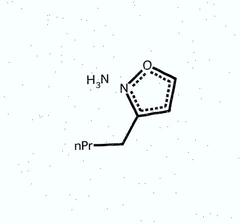 CCCCc1ccon1.N